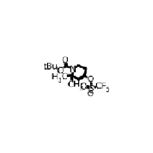 CC(C)(C)OC(=O)N1CCC(OS(=O)(=O)C(F)(F)F)=CC1(C)C